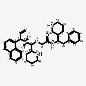 C=CC(c1cccc2ccccc12)S(=O)(=O)C(OCC(=O)NC(Cc1ccccc1)C1CCCNC1)C1CCCCN1